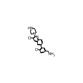 NCc1ccc(Cl)c(-c2ccc3nc(N4CCNCC4)c(Cl)cc3c2)c1